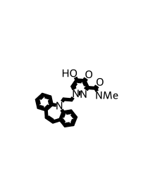 CNC(=O)c1nn(CCN2c3ccccc3C=Cc3ccccc32)cc(O)c1=O